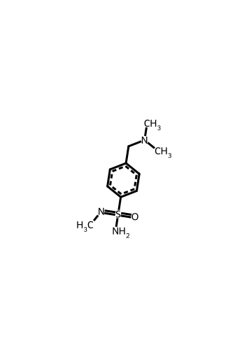 CN=S(N)(=O)c1ccc(CN(C)C)cc1